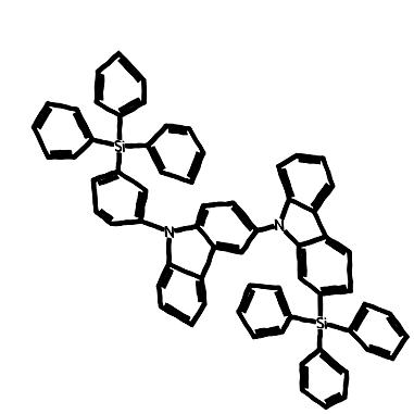 c1ccc([Si](c2ccccc2)(c2ccccc2)c2cccc(-n3c4ccccc4c4cc(-n5c6ccccc6c6ccc([Si](c7ccccc7)(c7ccccc7)c7ccccc7)cc65)ccc43)c2)cc1